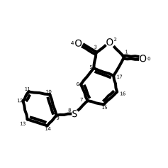 O=C1OC(=O)c2cc(Sc3ccccc3)ccc21